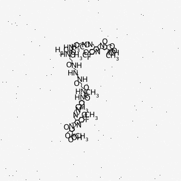 CC[C@@]1(O)C(=O)OCc2c1cc1n(c2=O)Cc2c-1nc1cc(F)c(OC)cc1c2CN1CC[N+](C)(Cc2ccc(NC(=O)[C@H](C)NC(=O)CCC(=O)NCCNCCNC(=O)CCC(=O)N[C@@H](C)C(=O)Nc3ccc(C[N+]4(C)CCN(Cc5c6c(nc7cc(F)c(OC)cc57)-c5cc7c(c(=O)n5C6)COC(=O)[C@]7(O)CC)CC4)cc3)cc2)CC1